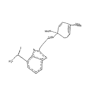 CNC1=CCC(C=Cc2nc3c(C(C)I)cccc3s2)(NC)C=C1